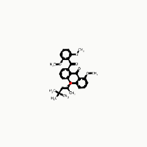 COc1cccc(OC)c1C(=O)c1[c]ccc(CC(C)CC(C)(C)C)c1C(=O)c1c(OC)cccc1OC